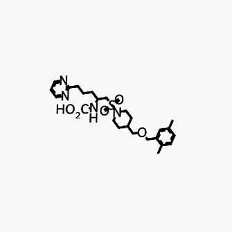 Cc1ccc(C)c(COCC2CCN(S(=O)(=O)CC(CCCc3ncccn3)NC(=O)O)CC2)c1